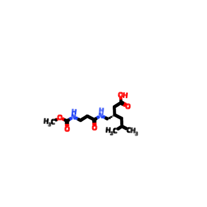 COC(=O)NCCC(=O)NC[C@H](CC(=O)O)CC(C)C